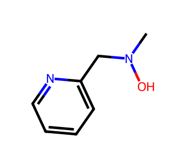 CN(O)Cc1ccccn1